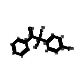 O=C(c1ccccc1)C(F)(F)c1ccc(F)cc1